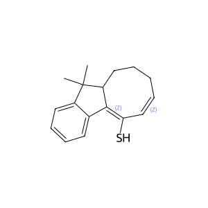 CC1(C)c2ccccc2/C2=C(S)/C=C\CCCC21